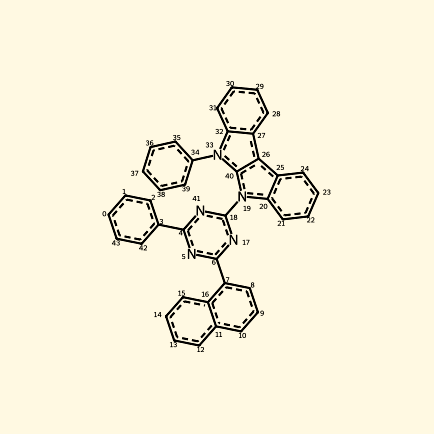 c1ccc(-c2nc(-c3cccc4ccccc34)nc(-n3c4ccccc4c4c5ccccc5n(-c5ccccc5)c43)n2)cc1